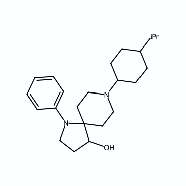 CC(C)C1CCC(N2CCC3(CC2)C(O)CCN3c2ccccc2)CC1